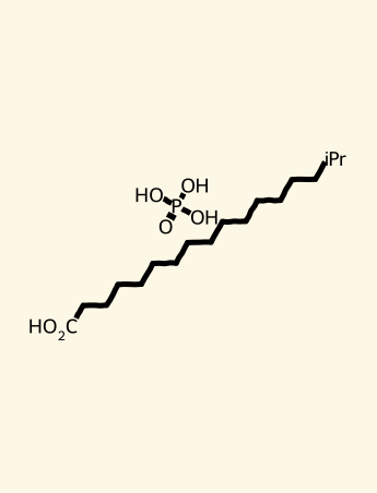 CC(C)CCCCCCCCCCCCCCC(=O)O.O=P(O)(O)O